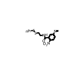 C=Nc1ccc([N+](=O)[O-])c(C(=O)NCCSSCCC)c1